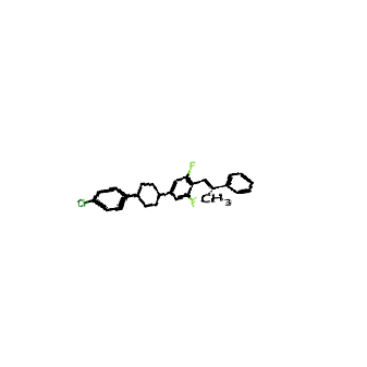 C[C@H](Cc1c(F)cc(C2CCC(c3ccc(Cl)cc3)CC2)cc1F)c1ccccc1